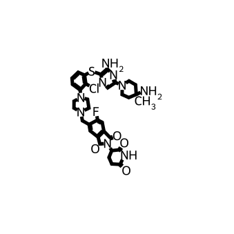 CC1(N)CCN(c2cnc(Sc3cccc(N4CCN(Cc5cc6c(cc5F)C(=O)N(C5CCC(=O)NC5=O)C6=O)CC4)c3Cl)c(N)n2)CC1